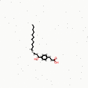 CCCCCCCCCCC=C=CCC(O)c1ccc(CCC(=O)O)cc1